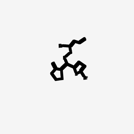 C=C/C=C(/Br)SS/C(=C1/CCCC1=C)c1ccc(Br)s1